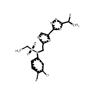 CCS(=O)(=O)N(Cc1ncc(-c2nnc(C(C)F)o2)s1)c1ccc(F)c(Cl)c1